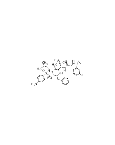 CC(C)CN(C[C@@H](O)[C@H](Cc1ccccc1)NC(=O)C(NC(=O)CNC1(c2cccc(F)c2)CC1)C(C)(C)C)S(=O)(=O)c1ccc(N)cc1